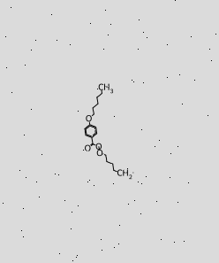 [CH2]CCCCOOC(=O)c1ccc(OCCCCCC)cc1